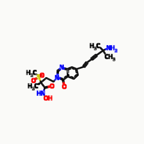 CC(C)(N)C#CC#Cc1ccc2c(=O)n(CC[C@](C)(C(=O)NO)S(C)(=O)=O)cnc2c1